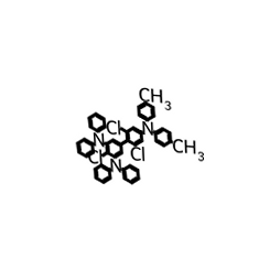 Cc1ccc(N(c2ccc(C)cc2)c2cc(Cl)c(-c3cc(N(c4ccccc4)c4ccccc4)c(Cl)c(N(c4ccccc4)c4ccccc4)c3)c(Cl)c2)cc1